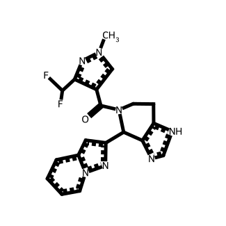 Cn1cc(C(=O)N2CCc3[nH]cnc3C2c2cc3ccccn3n2)c(C(F)F)n1